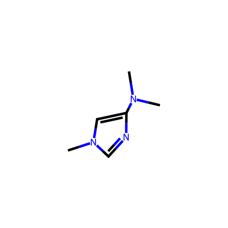 CN(C)c1cn(C)cn1